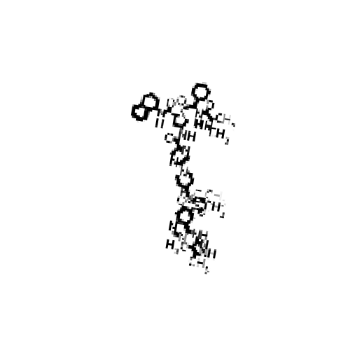 CN[C@@H](C)C(=O)NC(C(=O)N1C[C@@H](NC(=O)c2cnc(N3CCC(COc4cc5ncnc(Nc6n[nH]c(C)c6C)c5cc4S(=O)(=O)C(C)(C)C)CC3)cn2)C[C@H]1C(=O)N[C@@H]1CCCc2ccccc21)C1CCCCC1